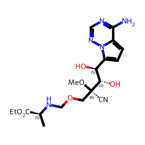 CCOC(=O)[C@H](C)NCOC[C@@](C#N)(OC)[C@@H](O)[C@@H](O)c1ccc2c(N)ncnn12